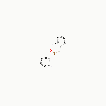 [O-][S+](Cc1ccccc1I)Cc1ccccc1I